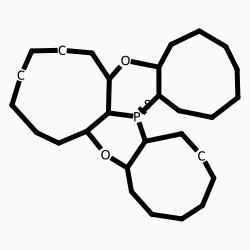 S=P12C3CCCCCCCC3OC3CCCCCCCC(OC4CCCCCCCC41)C32